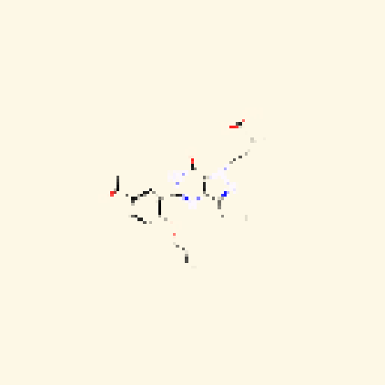 CCCOc1ccc(C(C)=O)cc1-c1nc2c(CC)nn(CCC(C)C(=O)O)c2c(=O)[nH]1